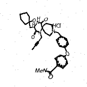 CC#CCN1C(=O)[C@@H](CC2(O)CCCCC2)NC(=O)C12CCN(Cc1ccc(Oc3ccc(C(=O)NC)cc3)cc1)CC2.Cl